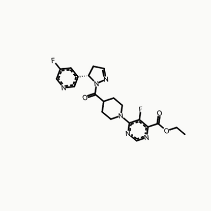 CCOC(=O)c1ncnc(N2CCC(C(=O)N3N=CC[C@H]3c3cncc(F)c3)CC2)c1F